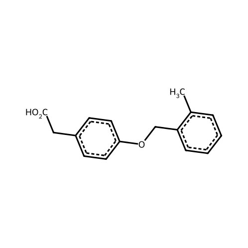 Cc1ccccc1COc1ccc(CC(=O)O)cc1